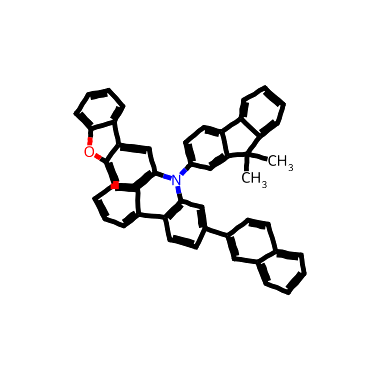 CC1(C)c2ccccc2-c2ccc(N(c3ccc4oc5ccccc5c4c3)c3cc(-c4ccc5ccccc5c4)ccc3-c3ccccc3)cc21